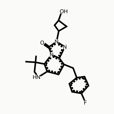 CC1(C)CNc2cc(Cc3ccc(F)cc3)c3nn(C4CC(O)C4)c(=O)n3c21